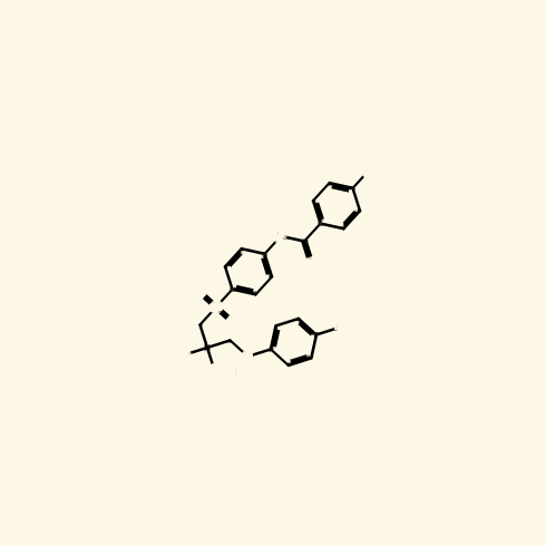 O=C(Nc1ccc(S(=O)(=O)CC(O)(CSc2ccc(F)cc2)C(=O)O)cc1)c1ccc(Cl)cc1